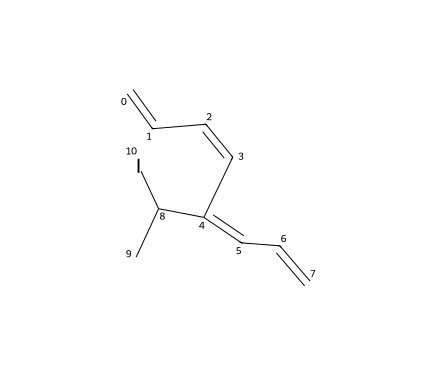 C=C/C=C\C(=C/C=C)C(C)I